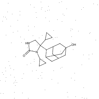 O=C1NCC(C2CC2)(C2C3CC4CC2CC(O)(C4)C3)N1C1CC1